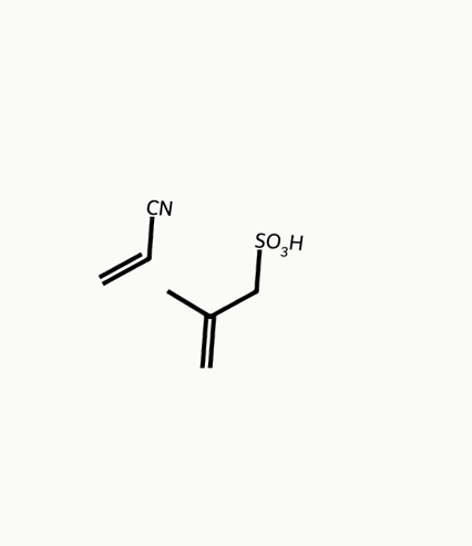 C=C(C)CS(=O)(=O)O.C=CC#N